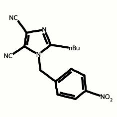 CCCCc1nc(C#N)c(C#N)n1Cc1ccc([N+](=O)[O-])cc1